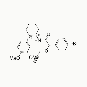 C#CCOC(C(=O)N[C@@H]1CCCC[C@H]1c1ccc(OC)c(OC)c1)c1ccc(Br)cc1